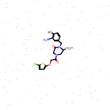 N#Cc1ccc(CN2C(=O)CN(C(=O)COc3ccc(Cl)s3)CC2C(=O)O)cc1N